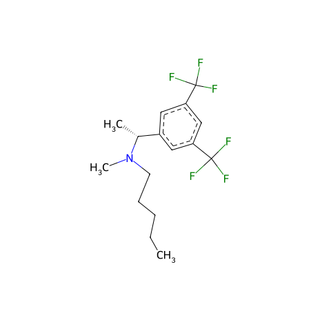 CCCCCN(C)[C@H](C)c1cc(C(F)(F)F)cc(C(F)(F)F)c1